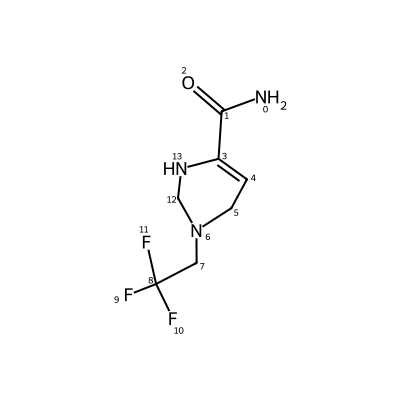 NC(=O)C1=CCN(CC(F)(F)F)CN1